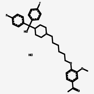 COc1cc(C(C)=O)ccc1OCCCCCCN1CCC(C(O)(c2ccc(F)cc2)c2ccc(F)cc2)CC1.Cl